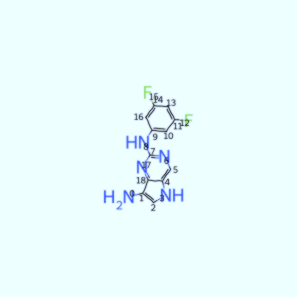 Nc1c[nH]c2cnc(Nc3cc(F)cc(F)c3)nc12